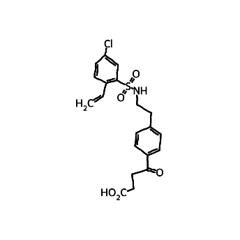 C=Cc1ccc(Cl)cc1S(=O)(=O)NCCc1ccc(C(=O)CCC(=O)O)cc1